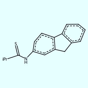 CC(C)C(=S)Nc1ccc2c(c1)Cc1ccccc1-2